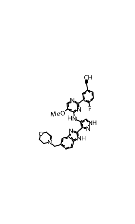 C#Cc1ccc(F)c(-c2ncc(OC)c(Nc3c[nH]nc3-c3nc4cc(CN5CCOCC5)ccc4[nH]3)n2)c1